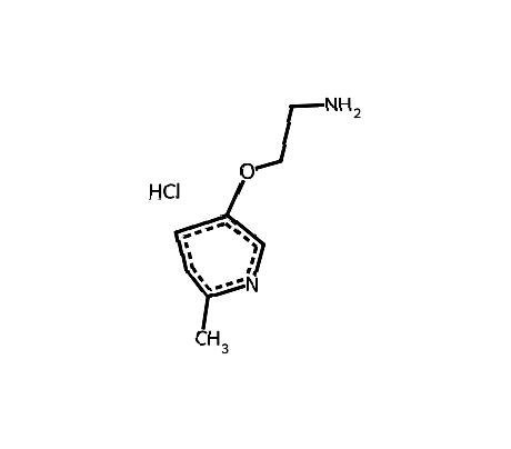 Cc1ccc(OCCN)cn1.Cl